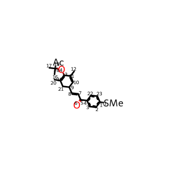 CSc1ccc(C(=O)/C=C/C2C=C(C)C(OC(C)(C)C(C)=O)=C(C)C2)cc1